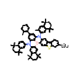 Cc1ccccc1-c1cc2c3c(c1)N(c1cc4c(cc1C)C(C)(C)CCC4(C)C)c1cc4c(cc1B3c1cc3c(cc1N2c1ccc2c(c1)C(C)(C)CCC2(C)C)C(C)(C)CCC3(C)C)sc1cc(C(C)(C)C)ccc14